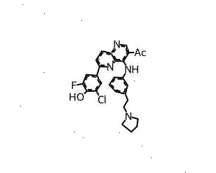 CC(=O)c1cnc2ccc(-c3cc(F)c(O)c(Cl)c3)nc2c1Nc1cccc(CCN2CCCC2)c1